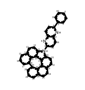 c1ccc(-c2ccc3nc(-n4c5ccc6cccc7c6c5c5c6c(ccc8cccc-7c86)ccc54)ccc3n2)cc1